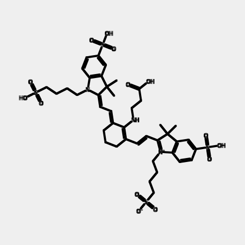 CC1(C)C(/C=C/C2=C(NCCC(=O)O)C(=C/C=C3/N(CCCCS(=O)(=O)O)c4ccc(S(=O)(=O)O)cc4C3(C)C)/CCC2)=[N+](CCCCS(=O)(=O)[O-])c2ccc(S(=O)(=O)O)cc21